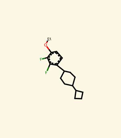 CCOc1ccc(C2CCC(C3CCC3)CC2)c(F)c1F